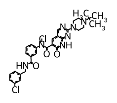 CC(C)(C)N1CCN(c2ncc3cc(C(=O)N(Cl)c4cccc(C(=O)NCc5cccc(Cl)c5)c4)c(=O)[nH]c3n2)CC1